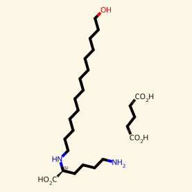 NCCCC[C@H](NCCCCCCCCCCCCCCO)C(=O)O.O=C(O)CCCC(=O)O